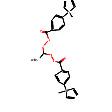 [CH2]CCCCCC[C](OOC(=O)c1ccc([Si](C)(C=C)C=C)cc1)OOC(=O)c1ccc([Si](C)(C=C)C=C)cc1